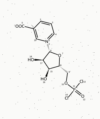 O=C([O-])c1ccc[n+]([C@@H]2O[C@H](COP(=O)(Cl)Cl)[C@@H](O)[C@H]2O)c1